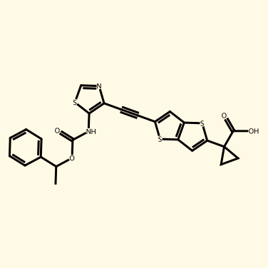 CC(OC(=O)Nc1scnc1C#Cc1cc2sc(C3(C(=O)O)CC3)cc2s1)c1ccccc1